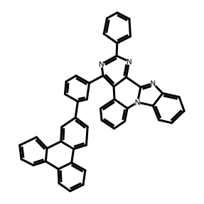 c1ccc(-c2nc(-c3cccc(-c4ccc5c6ccccc6c6ccccc6c5c4)c3)c3c4ccccc4n4c5ccccc5nc4c3n2)cc1